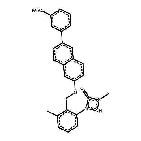 COc1cccc(-c2ccc3cc(OCc4c(C)cccc4-n4[nH]n(C)c4=O)ccc3c2)c1